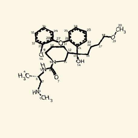 CNC[C@H](C)NC(=O)N1CCC[C@@H]([C@@](O)(CCCCOC)c2ccccc2Oc2ccccc2Cl)C1